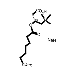 CCCCCCCCCCCCCCCC(=O)O[C@H](CC(=O)O)C[N+](C)(C)C.[NaH]